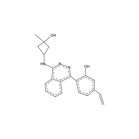 C=Cc1ccc(-c2nnc(NC3CC(C)(O)C3)c3ccccc23)c(O)c1